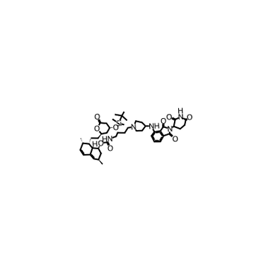 C[C@H]1C=C2C=C[C@H](C)[C@H](CC[C@@H]3C[C@@H](O[Si](C)(C)C(C)(C)C)CC(=O)O3)[C@H]2[C@@H](OC(=O)NCCCCN2CCC(Nc3cccc4c3C(=O)N(C3CCC(=O)NC3=O)C4=O)CC2)C1